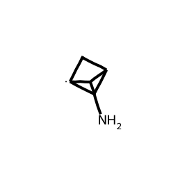 NC1[C]2CC1C2